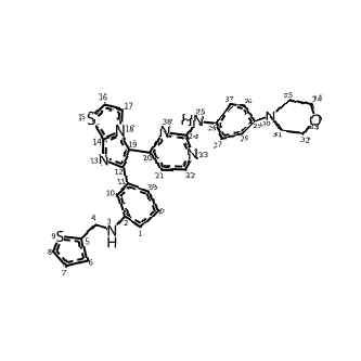 c1cc(NCc2cccs2)cc(-c2nc3sccn3c2-c2ccnc(Nc3ccc(N4CCOCC4)cc3)n2)c1